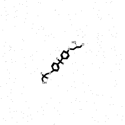 OCC(F)(F)COc1ccc(C(F)(F)c2ccc(OC[C@H](O)CCl)cc2)cc1